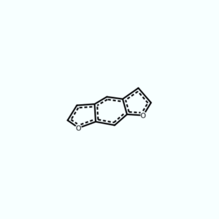 c1cc2cc3ccoc3cc2o1